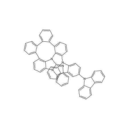 c1ccc2c(c1)nc1n2c2cccc3c4ccccc4c4ccccc4c4cccc(-n5c6ccccc6c6cc(-n7c8ccccc8c8ccccc87)ccc65)c4n1c32